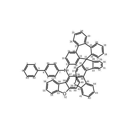 c1ccc(-c2ccc(N(c3ccc4c(c3)C3(c5ccccc5-c5ccccc5-4)c4ccccc4-c4c3ccc3sc5ccccc5c43)c3cccc4oc5ccccc5c34)cc2)cc1